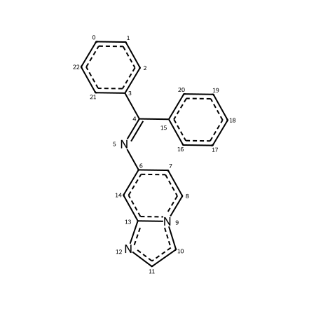 c1ccc(C(=Nc2ccn3ccnc3c2)c2ccccc2)cc1